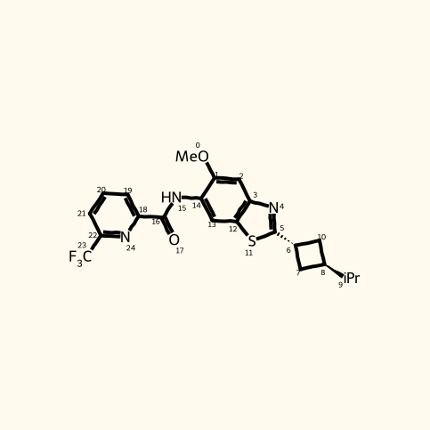 COc1cc2nc([C@H]3C[C@H](C(C)C)C3)sc2cc1NC(=O)c1cccc(C(F)(F)F)n1